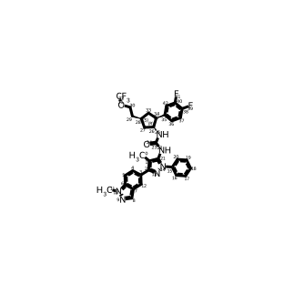 Cc1c(-c2ccc3c(cnn3C)c2)nn(-c2ccccc2)c1NC(=O)N[C@@H]1C[C@@H](CCOC(F)(F)F)C[C@H]1c1ccc(F)c(F)c1